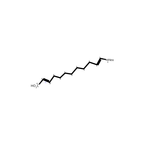 CCCCCCC=CCCCCCCC/C=C/C(=O)O